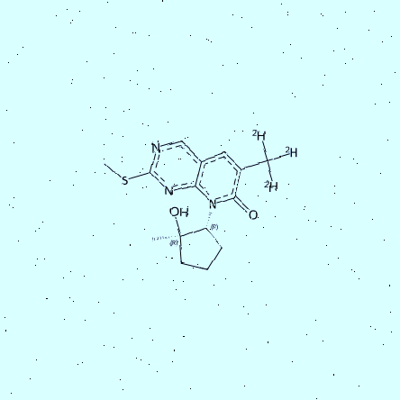 [2H]C([2H])([2H])c1cc2cnc(SC)nc2n([C@@H]2CCC[C@@]2(C)O)c1=O